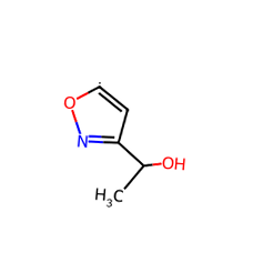 CC(O)c1c[c]on1